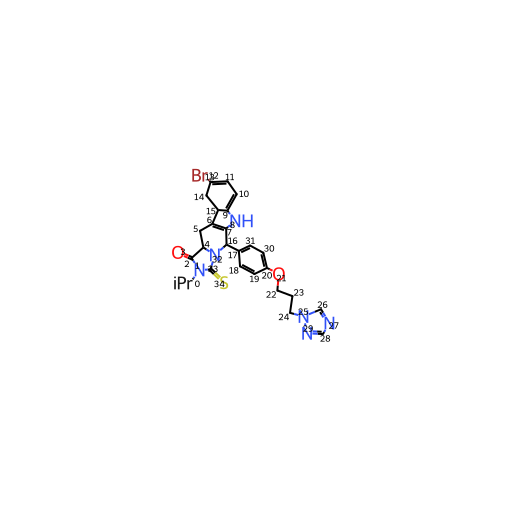 CC(C)N1C(=O)C2CC3=C(NC4=CC=C(Br)CC43)C(c3ccc(OCCCn4cncn4)cc3)N2C1=S